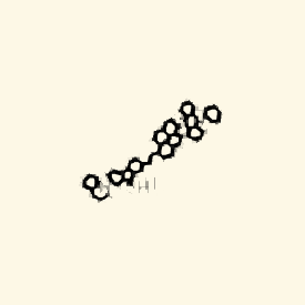 CC1(C)c2cc(/C=C/c3ccc4ccc5c(N6c7ccccc7N(c7ccccc7)c7ccccc76)ccc6ccc3c4c65)ccc2-c2ccc(N3CCCc4ccccc43)cc21